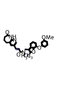 COc1cccc(Oc2cccc3c(CN(C)C(=O)/C=C/c4cnc5c(c4)CCCC(=O)N5)c(C)oc23)c1